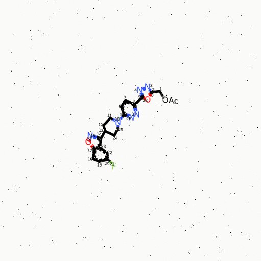 CC(=O)OCc1nnc(-c2ccc(N3CCC(c4noc5ccc(F)cc45)CC3)nn2)o1